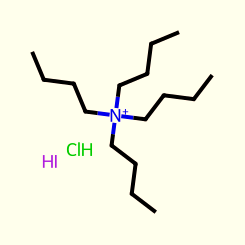 CCCC[N+](CCCC)(CCCC)CCCC.Cl.I